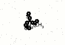 CC1(C)c2ccccc2-c2cc(N(c3ccc4c(c3)sc3ccccc34)c3ccc4ccc5oc6ccccc6c5c4c3)ccc21